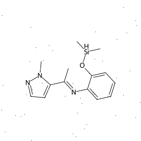 CC(=Nc1ccccc1O[SiH](C)C)c1ccnn1C